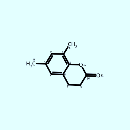 Cc1cc(C)c2c(c1)CCC(=O)O2